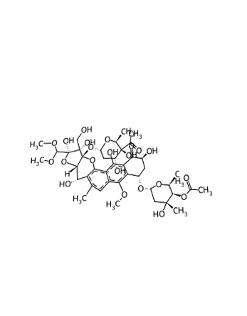 COc1c2c(c(O)c3c4c(c(C)cc13)[C@H](O)[C@@H]1O[C@@](O)(C(OC)OC)[C@@](O)(CO)[C@]1(O[C@H]1C[C@@H](O)[C@@](O)(C(C)=O)[C@H](C)O1)O4)C(=O)[C@@H](O)C[C@@H]2O[C@H]1C[C@@](C)(O)[C@H](OC(C)=O)[C@H](C)O1